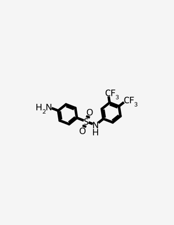 Nc1ccc(S(=O)(=O)Nc2ccc(C(F)(F)F)c(C(F)(F)F)c2)cc1